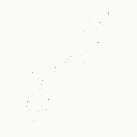 O=C(/C=C/c1cc(-c2ccc(F)c(F)c2)n[nH]1)c1ccc(F)c(F)c1